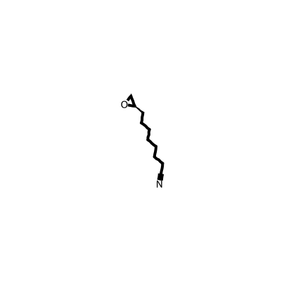 N#CCCCCCCC[C@@H]1CO1